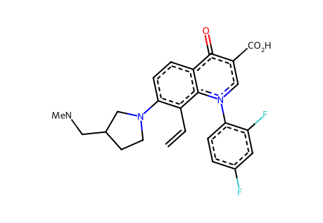 C=Cc1c(N2CCC(CNC)C2)ccc2c(=O)c(C(=O)O)cn(-c3ccc(F)cc3F)c12